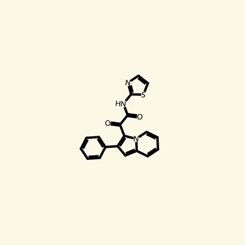 O=C(Nc1nccs1)C(=O)c1c(-c2ccccc2)cc2ccccn12